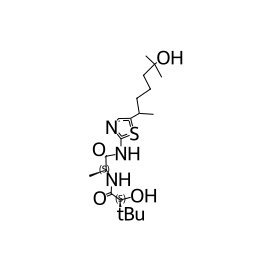 CC(CCCC(C)(C)O)c1cnc(NC(=O)[C@H](C)NC(=O)[C@@H](O)C(C)(C)C)s1